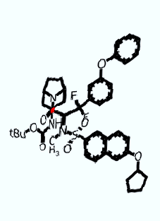 CN(C(C(=O)N1C2CCC1CC(NC(=O)OC(C)(C)C)C2)C(F)(F)c1cccc(Oc2ccccc2)c1)S(=O)(=O)c1ccc2cc(OC3CCCC3)ccc2c1